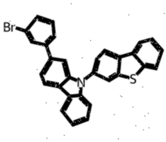 Brc1cccc(-c2ccc3c4ccccc4n(-c4ccc5c(c4)sc4ccccc45)c3c2)c1